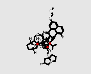 COCOc1cc(-c2nc3c4c(nc(OC[C@]56CCCN5C[C@@H](F)C6)nc4c2F)N2C[C@@H]4CC[C@H]([C@H]2CO3)N4C(=O)OC(C)(C)C)c2c(C#C[Si](C(C)C)(C(C)C)C(C)C)c(F)ccc2c1